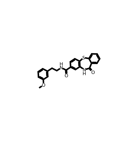 COc1cccc(CCNC(=O)c2ccc3c(c2)NC(=O)c2ccccc2S3)c1